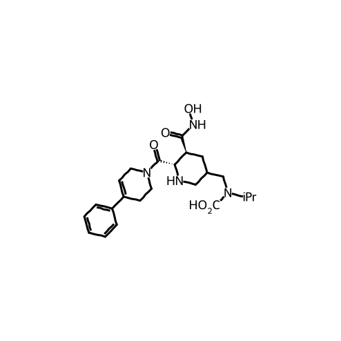 CC(C)N(CC1CN[C@H](C(=O)N2CC=C(c3ccccc3)CC2)[C@@H](C(=O)NO)C1)C(=O)O